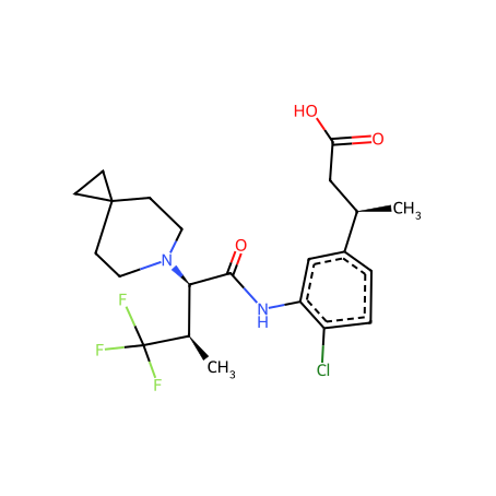 C[C@H](CC(=O)O)c1ccc(Cl)c(NC(=O)[C@@H]([C@@H](C)C(F)(F)F)N2CCC3(CC2)CC3)c1